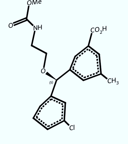 COC(=O)NCCO[C@H](c1cccc(Cl)c1)c1cc(C)cc(C(=O)O)c1